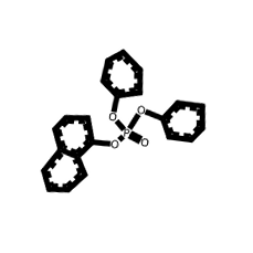 O=P(Oc1ccccc1)(Oc1ccccc1)Oc1cccc2ccccc12